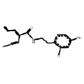 C=C/C=C(\C=B/C)C(=O)NCCc1ncc(O)cc1Cl